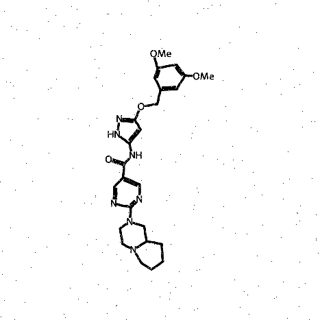 COc1cc(COc2cc(NC(=O)c3cnc(N4CCN5CCCCC5C4)nc3)[nH]n2)cc(OC)c1